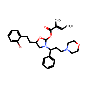 O=C/C(=C\C(=O)O)C(=O)OC1OC(CCc2ccccc2Br)CN1C(CCN1CCOCC1)c1ccccc1